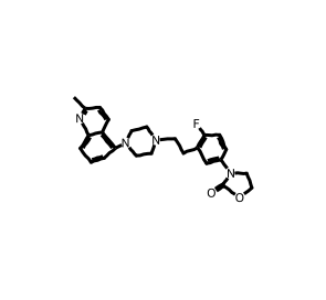 Cc1ccc2c(N3CCN(CCc4cc(N5CCOC5=O)ccc4F)CC3)cccc2n1